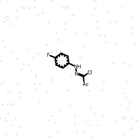 CC(=O)C(Cl)=NNc1ccc(F)cc1